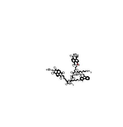 CCCCN1C(=O)c2ccc3c4c(ccc(c24)C1=O)C(=O)N(CCCCC(NC(=O)C(CCCCN)NC(=O)CNC(=O)C(CCCCN1C(=O)c2ccc4c5c(ccc(c25)C1=O)C(=O)N(CCCC)C4=O)NC(=O)C(CCCCN)NC(=O)OCC1c2ccccc2-c2ccccc21)C(N)=O)C3=O